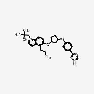 CCCc1c(OC2CCC(Oc3ccc(-c4nn[nH]n4)cc3)C2)ccc2c1ccn2CC(C)(C)C